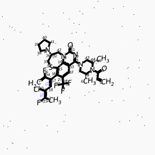 C=CC(=O)N1[C@H](C)CN(c2nc(=O)n3c4c(c(/C(=C/C(Cl)=C(\C)F)C(=C)F)c(C(F)(F)F)cc24)SC[C@@H](N2CCCC2)C3)C[C@@H]1C